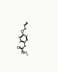 C=CCOc1ccc(CC(N)=O)cc1